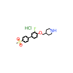 CS(=O)(=O)c1ccc(-c2ccc(OCC3CCNCC3)c(F)c2)cc1.Cl